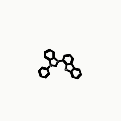 c1ccc(N2CN(c3cccc4c3oc3ccccc34)c3ccccc32)cc1